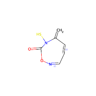 C=C1/C=C\C=N/OC(=O)N1S